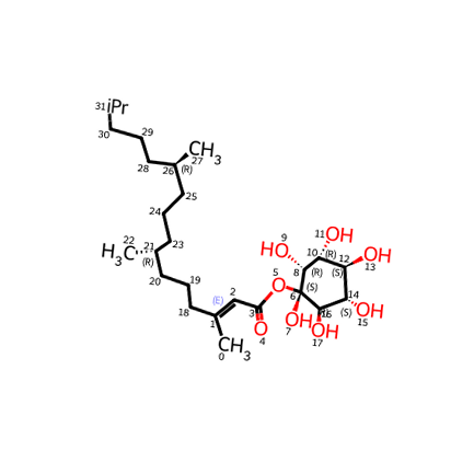 C/C(=C\C(=O)O[C@]1(O)[C@H](O)[C@H](O)[C@@H](O)[C@H](O)[C@H]1O)CCC[C@H](C)CCC[C@H](C)CCCC(C)C